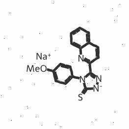 COc1ccc(-n2c(-c3ccc4ccccc4n3)n[n-]c2=S)cc1.[Na+]